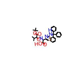 CC(C)C(ON=C(C(=O)O)c1csc(NC(c2ccccc2)(c2ccccc2)c2ccccc2)n1)C(=O)OC(C)(C)C